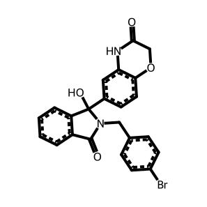 O=C1COc2ccc(C3(O)c4ccccc4C(=O)N3Cc3ccc(Br)cc3)cc2N1